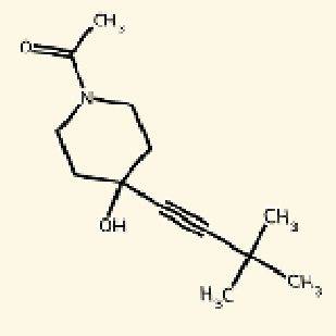 CC(=O)N1CCC(O)(C#CC(C)(C)C)CC1